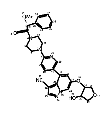 CO[C@@H](C(=O)N1CCN(c2ccc(-c3cc(OC4COCC4O)cn4ncc(C#N)c34)cn2)CC1)c1ccccc1